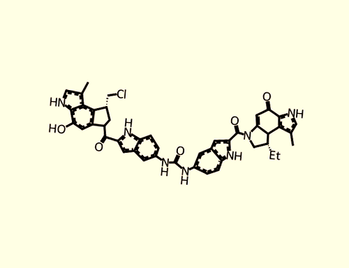 CC[C@@H]1CN(C(=O)c2cc3cc(NC(=O)Nc4ccc5[nH]c(C(=O)C6C[C@@H](CCl)c7c6cc(O)c6[nH]cc(C)c76)cc5c4)ccc3[nH]2)C2=CC(=O)c3[nH]cc(C)c3C21